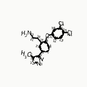 Cc1snnc1-c1ccc(Oc2ccc(Cl)c(Cl)c2)c(CCN)c1